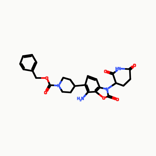 Nc1c(C2CCN(C(=O)OCc3ccccc3)CC2)ccc2c1oc(=O)n2C1CCC(=O)NC1=O